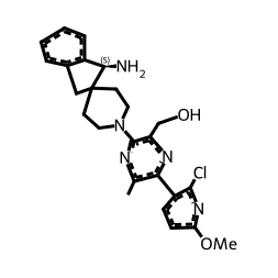 COc1ccc(-c2nc(CO)c(N3CCC4(CC3)Cc3ccccc3[C@H]4N)nc2C)c(Cl)n1